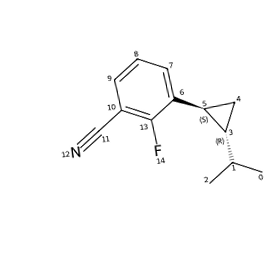 CC(C)[C@H]1C[C@@H]1c1cccc(C#N)c1F